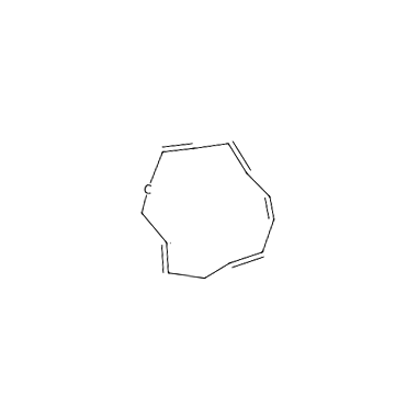 [C]1=C/C/C=C/C=C\C=C\C=C/CC/1